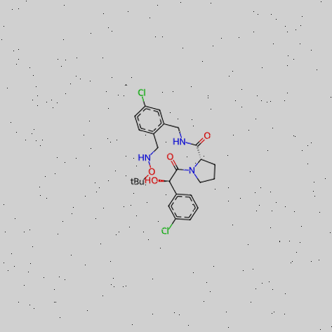 CC(C)(C)ONCc1ccc(Cl)cc1CNC(=O)[C@@H]1CCCN1C(=O)[C@H](O)c1cccc(Cl)c1